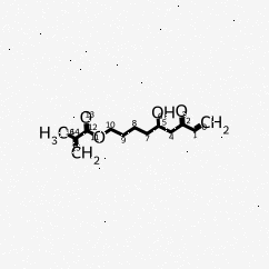 C=CC(=O)CC(O)CCCCOC(=O)C(=C)C